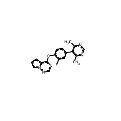 Cc1ncnc(C)c1-c1ccc(Oc2ncnn3cccc23)c(F)c1